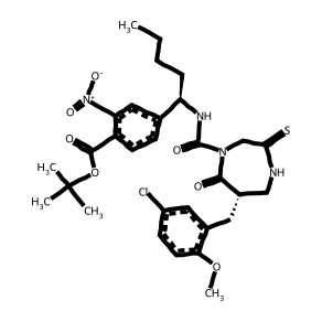 CCCC[C@@H](NC(=O)N1CC(=S)NC[C@H](Cc2cc(Cl)ccc2OC)C1=O)c1ccc(C(=O)OC(C)(C)C)c([N+](=O)[O-])c1